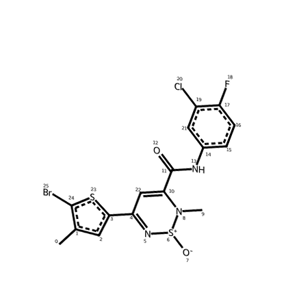 Cc1cc(C2=N[S+]([O-])N(C)C(C(=O)Nc3ccc(F)c(Cl)c3)=C2)sc1Br